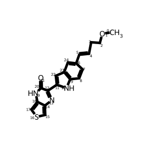 COCC/C=C/c1ccc2[nH]c(-c3nc4cscc4[nH]c3=O)cc2c1